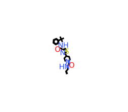 C=CCNC(=O)N1CCC(c2nc(C(=O)Nc3ccccc3C(C)(C)C)cs2)CC1